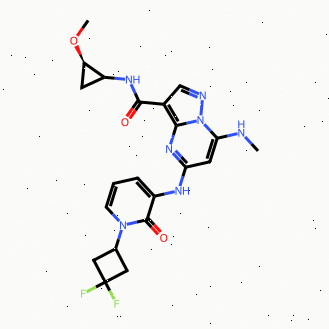 CNc1cc(Nc2cccn(C3CC(F)(F)C3)c2=O)nc2c(C(=O)NC3C[C@H]3OC)cnn12